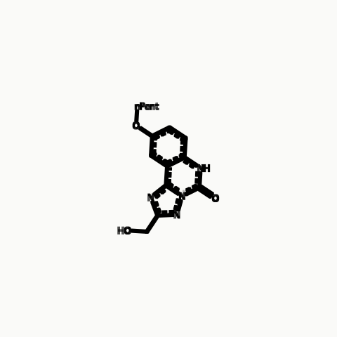 CCCCCOc1ccc2[nH]c(=O)n3nc(CO)nc3c2c1